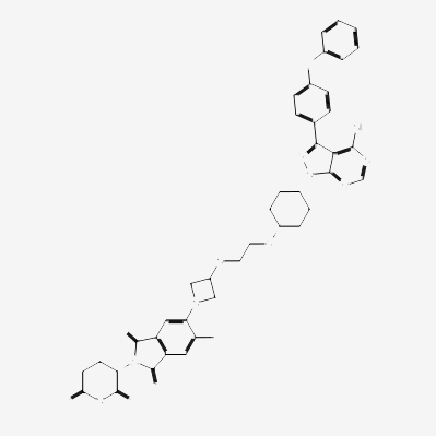 Nc1ncnc2c1c(-c1ccc(Oc3ccccc3)cc1)nn2[C@H]1CC[C@H](NCCNC2CN(c3cc4c(cc3F)C(=O)N([C@@H]3CCC(=O)NC3=O)C4=O)C2)CC1